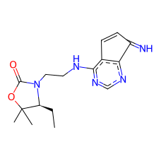 CC[C@@H]1N(CCNc2ncnc3c2C=CC3=N)C(=O)OC1(C)C